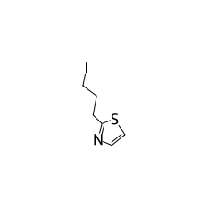 ICCCc1nccs1